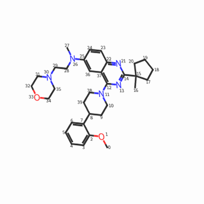 COc1ccccc1C1CCN(c2nc(C3(C)CCCC3)nc3ccc(N(C)CCN4CCOCC4)cc23)CC1